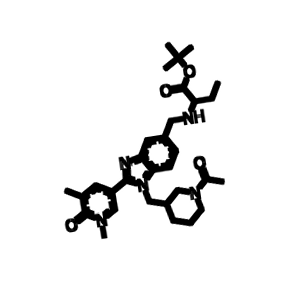 CCC(NCc1ccc2c(c1)nc(-c1cc(C)c(=O)n(C)c1)n2CC1CCCN(C(C)=O)C1)C(=O)OC(C)(C)C